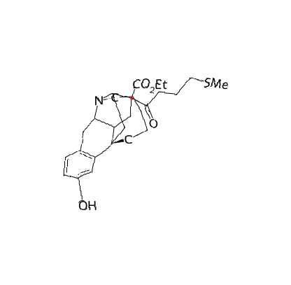 CCOC(=O)C1(C(=O)CCCSC)CC2C3Cc4ccc(O)cc4[C@]24CCCCCN3C1C4